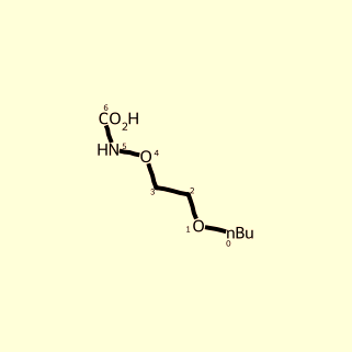 CCCCOCCONC(=O)O